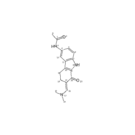 CC(=O)Nc1ccc2[nH]c3c(c2c1)CCC(=CN(C)C)C3=O